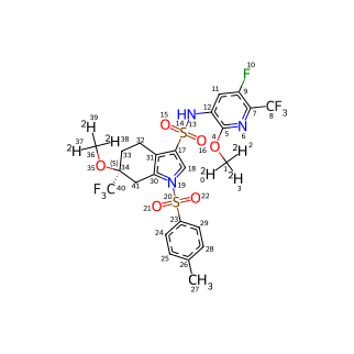 [2H]C([2H])([2H])Oc1nc(C(F)(F)F)c(F)cc1NS(=O)(=O)c1cn(S(=O)(=O)c2ccc(C)cc2)c2c1CC[C@@](OC([2H])([2H])[2H])(C(F)(F)F)C2